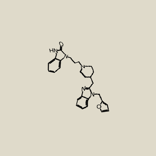 O=c1[nH]c2ccccc2n1CCCN1CCC(Cc2nc3ccccc3n2Cc2ccco2)CC1